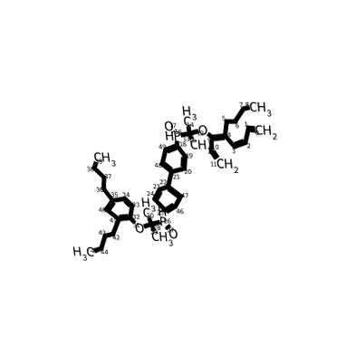 C=C/C=C\C(CCCC)=C(/C=C)OC(C)(C)[PH](=O)c1ccc(-c2ccc([PH](=O)C(C)(C)Oc3ccc(CCCC)cc3CCCC)cc2)cc1